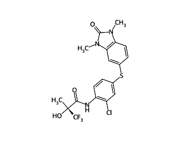 Cn1c(=O)n(C)c2cc(Sc3ccc(NC(=O)[C@@](C)(O)C(F)(F)F)c(Cl)c3)ccc21